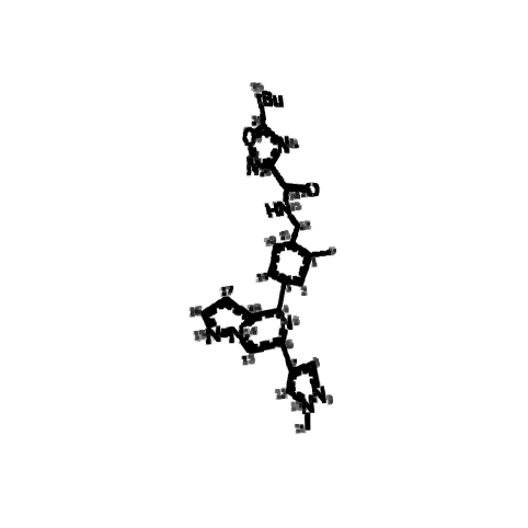 Cc1cc(-c2nc(-c3cnn(C)c3)cn3nccc23)ccc1CNC(=O)c1noc(C(C)(C)C)n1